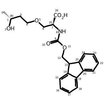 C[C@@H](O)CCOC[C@H](NC(=O)OCC1c2ccccc2-c2ccccc21)C(=O)O